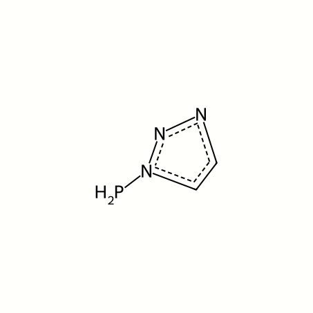 Pn1ccnn1